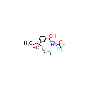 CCCC(O)(CCC)c1cccc(C(O)CCNC(=O)C(F)(F)F)c1